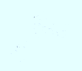 CCOC(=O)CC(c1ccccc1)N1CC(=O)N(C(C)C)c2ccc(CCCCCNC(=O)OC(C)(C)C)cc2C1=O